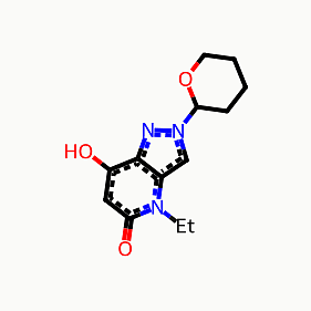 CCn1c(=O)cc(O)c2nn(C3CCCCO3)cc21